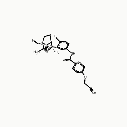 C#CCOc1ccc(C(=O)Nc2ccc(F)c([C@@]3(C)N=C(N)[C@@]4(CF)CCC3S4(=O)=O)c2)nc1